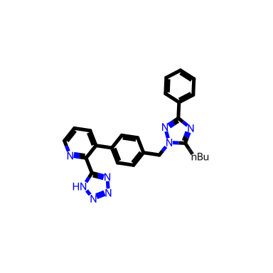 CCCCc1nc(-c2ccccc2)nn1Cc1ccc(-c2cccnc2-c2nnn[nH]2)cc1